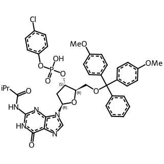 COc1ccc(C(OC[C@H]2O[C@@H](n3cnc4c(=O)[nH]c(NC(=O)C(C)C)nc43)C[C@@H]2OP(=O)(O)Oc2ccc(Cl)cc2)(c2ccccc2)c2ccc(OC)cc2)cc1